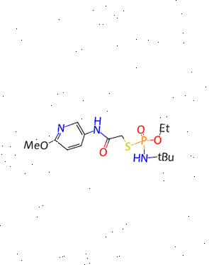 CCOP(=O)(NC(C)(C)C)SCC(=O)Nc1ccc(OC)nc1